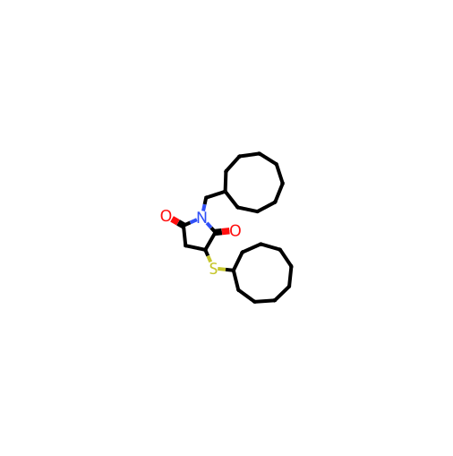 O=C1CC(SC2CCCCCCCC2)C(=O)N1CC1CCCCCCCC1